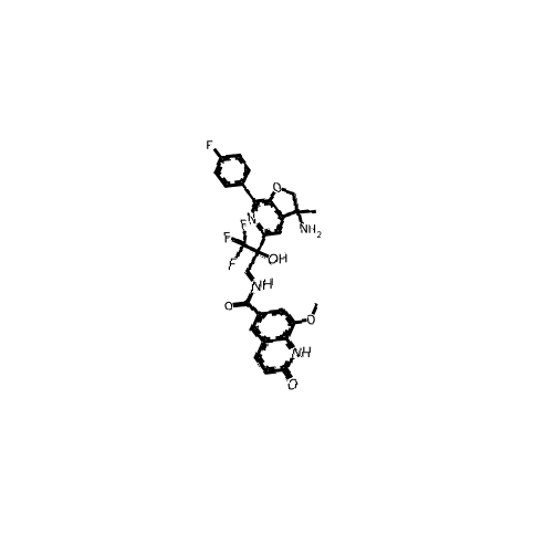 COc1cc(C(=O)NCC(O)(c2cc3c(c(-c4ccc(F)cc4)n2)OCC3(C)N)C(F)(F)F)cc2ccc(=O)[nH]c12